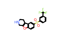 O=S(=O)(c1cccc(C(F)(F)F)c1)c1ccc2oc3c(c2c1)CCNC3